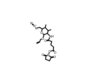 C=CCOC1OC(CN=[N+]=[N-])C(C)C(C)C1NC(=O)CCCC(=O)ON1C(=O)CCC1=O